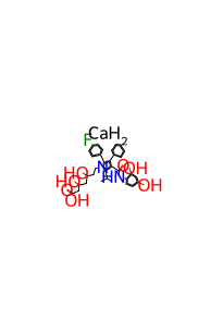 CC(C)c1c(C(=O)Nc2ccc(O)cc2O)c(-c2ccccc2)c(-c2ccc(F)cc2)n1CCC(O)CC(O)CC(=O)O.[CaH2]